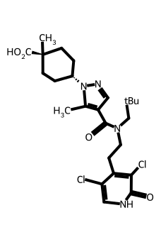 Cc1c(C(=O)N(CCc2c(Cl)c[nH]c(=O)c2Cl)CC(C)(C)C)cnn1[C@H]1CC[C@](C)(C(=O)O)CC1